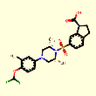 Cc1cc(N2C[C@@H](C)N(S(=O)(=O)c3ccc4c(c3)C(C(=O)O)CC4)[C@@H](C)C2)ccc1OC(F)F